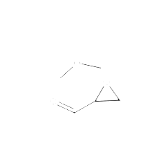 COC.O=CC1CO1